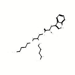 CCCCCCCCCCCCCCOCC(CNC(=O)[C@H](N)Cc1c[nH]c2ccccc12)OCCCCCCCCCCCCCC.Cl